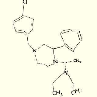 CCN(CC)C(C)N1CCN(Cc2ccc(Cl)cc2)CC1c1ccccc1